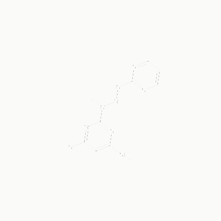 Nc1cc(N)nc(N(S)NNc2ncccn2)n1